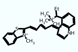 CCC(c1cccc2c1C(=CC=CC=Cc1sc3ccccc3[n+]1C)C=CN2)[N+](C)(C)C